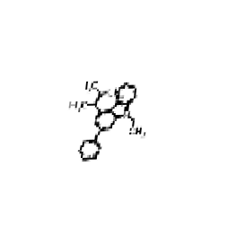 CCn1c2cccnc2c2c(C(C)=C(C)C)cc(-c3ccccc3)cc21